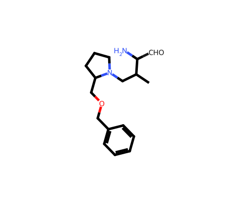 CC(CN1CCCC1COCc1ccccc1)C(N)C=O